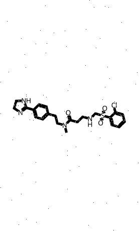 CN(CCc1ccc(C2=NCCN2)cc1)C(=O)CCNCS(=O)(=O)c1ccccc1Cl